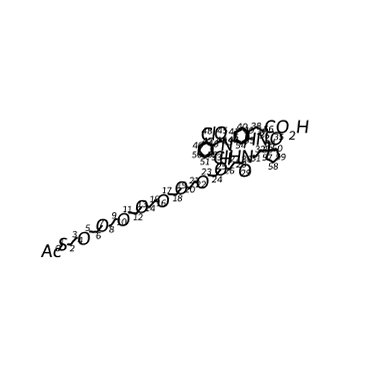 CC(=O)SCCOCCOCCOCCOCCOCCOCCOCCOCCC(=O)NCCC1(C(=O)NC(Cc2ccc(NC(=O)c3c(Cl)cccc3Cl)cc2)C(=O)O)CCCC1